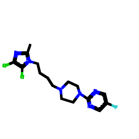 Cc1nc(Cl)c(Cl)n1CCCCN1CCN(c2ncc(F)cn2)CC1